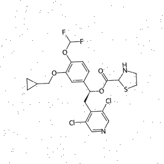 O=C(O[C@@H](Cc1c(Cl)cncc1Cl)c1ccc(OC(F)F)c(OCC2CC2)c1)C1NCCS1